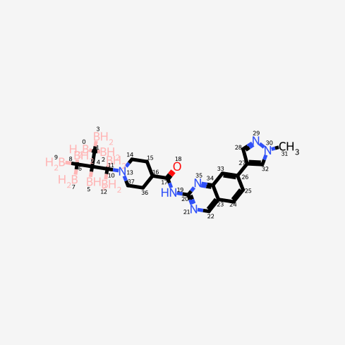 BC(B)(B)C(B)(C(B)(B)B)C(B)(B)N1CCC(C(=O)Nc2ncc3ccc(-c4cnn(C)c4)cc3n2)CC1